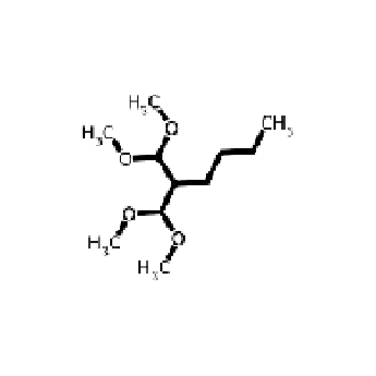 CCCCC(C(OC)OC)C(OC)OC